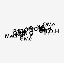 COC(=O)N[C@H](C(=O)N1C[C@@H](OC)C[C@H]1c1nc2cc([C@H]3CC[C@H](c4ccc5[nH]c([C@@H]6C[C@H](OC)CN6C(=O)[C@H](C(C)C)N(C)C(=O)O)nc5c4)N3c3ccc(F)cc3)ccc2[nH]1)C(C)C